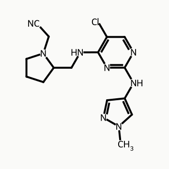 Cn1cc(Nc2ncc(Cl)c(NCC3CCCN3CC#N)n2)cn1